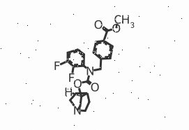 COC(=O)c1ccc(CN(C(=O)O[C@H]2CN3CCC2CC3)c2cccc(F)c2F)cc1